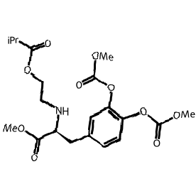 COC(=O)Oc1ccc(C[C@H](NCCOC(=O)C(C)C)C(=O)OC)cc1OC(=O)OC